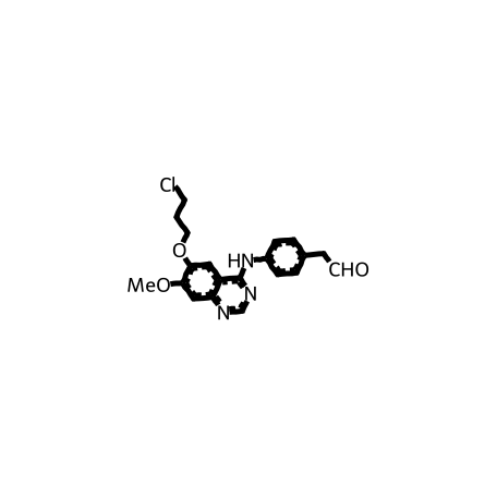 COc1cc2ncnc(Nc3ccc(CC=O)cc3)c2cc1OCCCCl